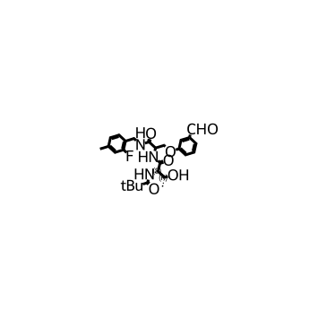 Cc1ccc(CNC(=O)C(COc2cccc(C=O)c2)NC(=O)[C@@H](NC(=O)C(C)(C)C)[C@@H](C)O)c(F)c1